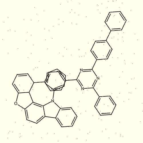 C1=CC(c2ccc(-c3nc(-c4ccccc4)nc(-c4ccc(-c5ccccc5)cc4)n3)cc2)C2C(=C1)Oc1ccc3c4ccccc4n(-c4ccccc4)c3c12